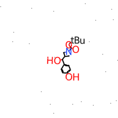 CC(C)(C)OC(=O)N1CC(C(O)c2ccc(O)cc2)C1